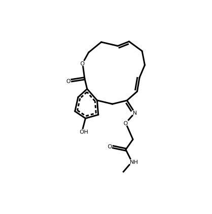 CNC(=O)CO/N=C1/C=C/CC/C=C/CCOC(=O)c2ccc(O)cc2C1